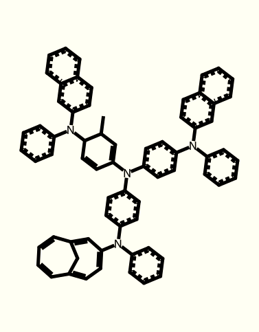 CC1C=C(N(c2ccc(N(C3=CC=C4C=CC=CC(=C3)C4)c3ccccc3)cc2)c2ccc(N(c3ccccc3)c3ccc4ccccc4c3)cc2)C=CC1N(c1ccccc1)c1ccc2ccccc2c1